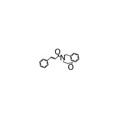 O=C(C=Cc1ccccc1)N(Cc1ccccc1)CC1CO1